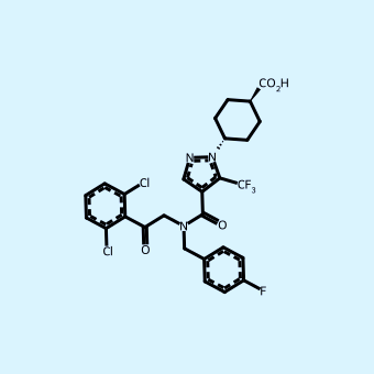 O=C(CN(Cc1ccc(F)cc1)C(=O)c1cnn([C@H]2CC[C@H](C(=O)O)CC2)c1C(F)(F)F)c1c(Cl)cccc1Cl